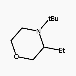 CCC1COCCN1C(C)(C)C